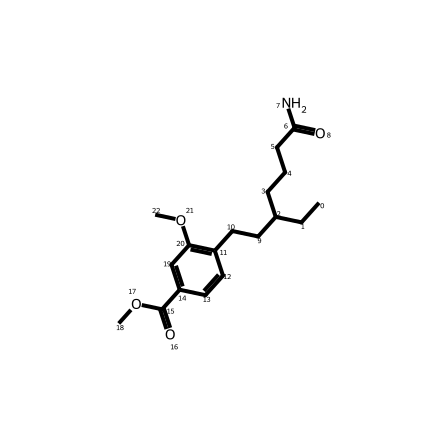 CCC(CCCC(N)=O)CCc1ccc(C(=O)OC)cc1OC